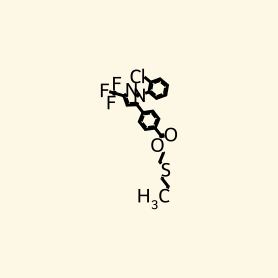 CCCSCCOC(=O)c1ccc(-c2cc(C(F)(F)F)nn2-c2ccccc2Cl)cc1